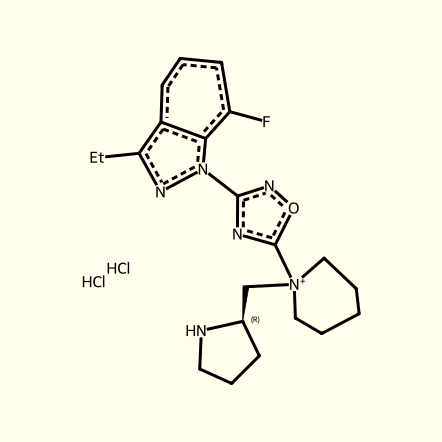 CCc1nn(-c2noc([N+]3(C[C@H]4CCCN4)CCCCC3)n2)c2c(F)cccc12.Cl.Cl